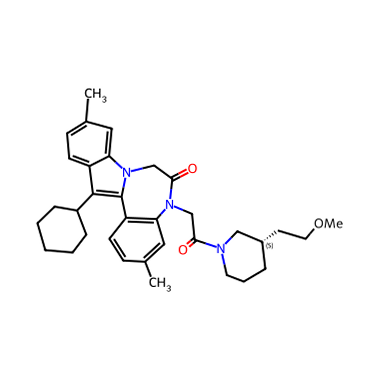 COCC[C@@H]1CCCN(C(=O)CN2C(=O)Cn3c(c(C4CCCCC4)c4ccc(C)cc43)-c3ccc(C)cc32)C1